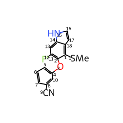 CSc1c(Oc2cccc(C#N)c2)c(F)cc2[nH]ccc12